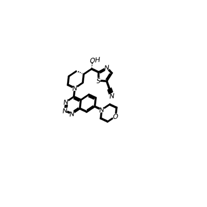 N#Cc1cnc([C@@H](O)[C@H]2CCCN(c3nnnc4cc(N5CCOCC5)ccc34)C2)s1